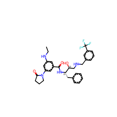 CCNc1cc(C(=O)N[C@@H](Cc2ccccc2)[C@@H](O)CNCc2cccc(C(F)(F)F)c2)cc(N2CCCC2=O)c1